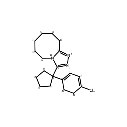 ClC1=CC=C(C2(c3nnc4n3CCCCCC4)CCCC2)CC1